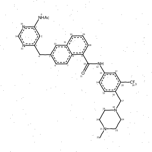 CC(=O)Nc1cc(Cc2ccc3c(C(=O)Nc4ccc(CN5CCN(C)CC5)c(C(F)(F)F)c4)cccc3c2)ncn1